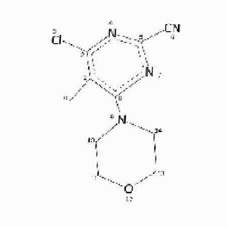 Cc1c(Cl)nc(C#N)nc1N1CCOCC1